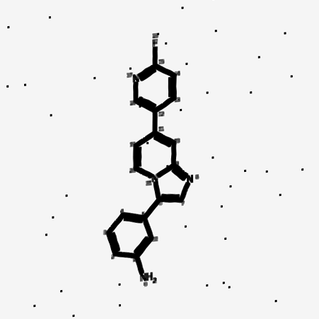 Nc1cccc(-c2cnc3cc(-c4ccc(F)nc4)ccn23)c1